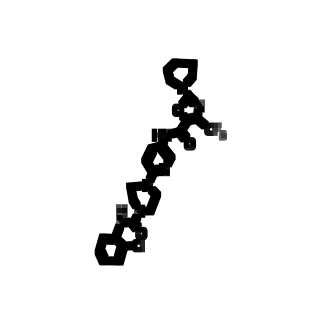 O=C(Nc1ccc(N2CCN(C(=O)Nc3ccccc3Cl)CC2)nc1)c1oc(N2CCCCC2)nc1C(F)(F)F